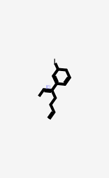 C=CCC/C(=C\C)C1=CC(I)CC=C1